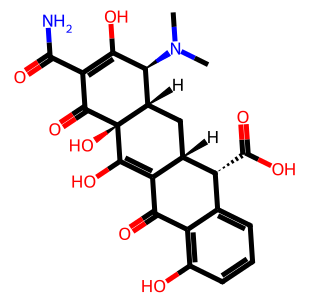 CN(C)[C@@H]1C(O)=C(C(N)=O)C(=O)[C@@]2(O)C(O)=C3C(=O)c4c(O)cccc4[C@@H](C(=O)O)[C@H]3C[C@@H]12